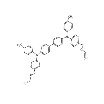 C=COCc1ccc(N(c2ccc(C)cc2)c2ccc(-c3ccc(N(c4ccc(C)cc4)c4ccc(COC=C)cc4)cc3)cc2)cc1